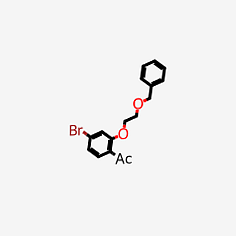 CC(=O)c1ccc(Br)cc1OCCOCc1ccccc1